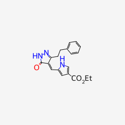 CCOC(=O)c1c[nH]c(/C=C2/C(=O)NN=C2CCc2ccccc2)c1